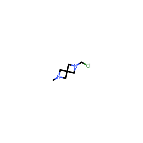 CN1CC2(C1)CN(CCl)C2